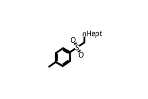 [CH2]CCCCCCCS(=O)(=O)c1ccc(C)cc1